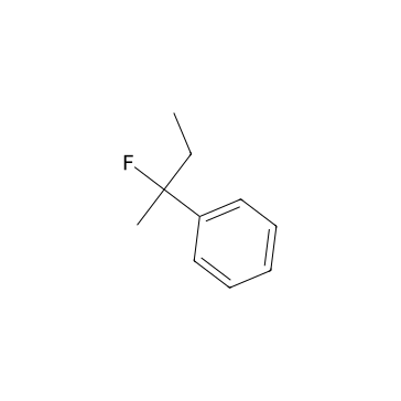 CCC(C)(F)c1ccccc1